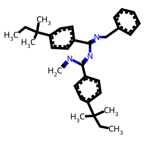 C=N/C(=N\C(=N/Cc1ccccc1)c1ccc(C(C)(C)CC)cc1)c1ccc(C(C)(C)CC)cc1